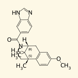 COc1ccc2c(c1)C[C@H]1N(C(=O)c3ccc4nc[nH]c4c3)CC[C@]2(C)C1(C)C